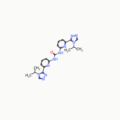 CC(C)n1cnnc1-c1cccc(NC(=O)Nc2cccc(-c3nncn3C(C)C)n2)n1